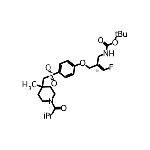 CC(C)C(=O)N1CCC(C)(CS(=O)(=O)c2ccc(OC/C(=C/F)CNC(=O)OC(C)(C)C)cc2)CC1